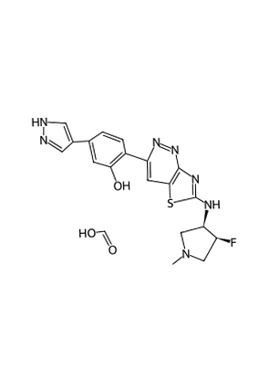 CN1C[C@H](F)[C@H](Nc2nc3nnc(-c4ccc(-c5cn[nH]c5)cc4O)cc3s2)C1.O=CO